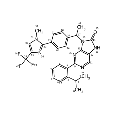 CC(C)c1ncccc1-c1ncc2[nH]c(=O)n(C(C)c3ccc(-c4nc(C(F)(F)F)cn4C)cc3)c2n1